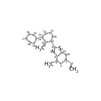 C=Cc1cc(C)c2nc(-c3cccc(-c4ccccc4)c3C)sc2c1